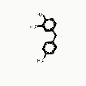 Bc1ccc(Cc2ccc(C)cc2)cc1C